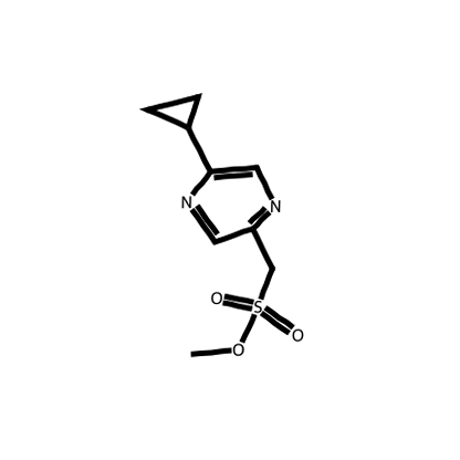 COS(=O)(=O)Cc1cnc(C2CC2)cn1